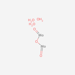 O.O.O.[O]=[Mo][O][Mo]=[O]